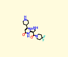 N=C/C(C(=O)N1CCC(F)(F)CC1)=C1/NC(=O)C=C(C2CCNCC2)N1